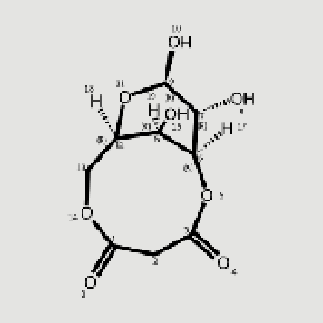 O=C1CC(=O)O[C@@H]2[C@@H](O)[C@H](O)O[C@H](CO1)[C@H]2O